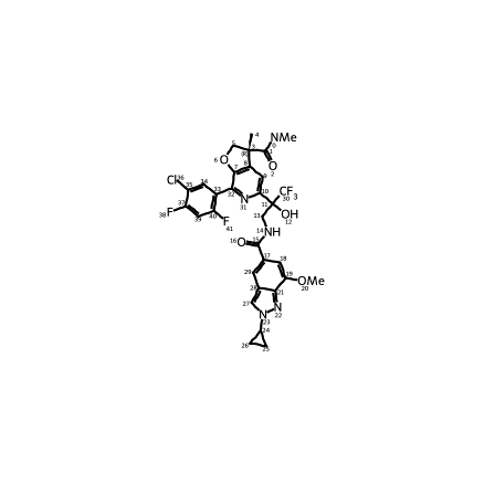 CNC(=O)[C@@]1(C)COc2c1cc(C(O)(CNC(=O)c1cc(OC)c3nn(C4CC4)cc3c1)C(F)(F)F)nc2-c1cc(Cl)c(F)cc1F